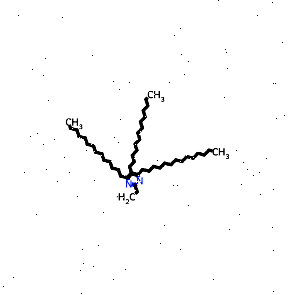 [CH2]Cc1nc(CCCCCCCCCCCCCC)c(CCCCCCCCCCCCCC)c(CCCCCCCCCCCCCC)n1